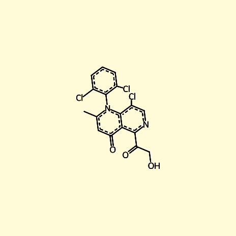 Cc1cc(=O)c2c(C(=O)CO)ncc(Cl)c2n1-c1c(Cl)cccc1Cl